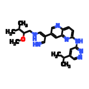 COC(CN/C=C(\C=N)c1cnc2ccc(Nc3cc(C(C)C)cnn3)nc2c1)C(C)C